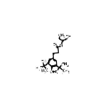 CC[C](CC)OC(=O)CCc1cc(C(C)(C)C)c(O)c(C(C)(C)C)c1